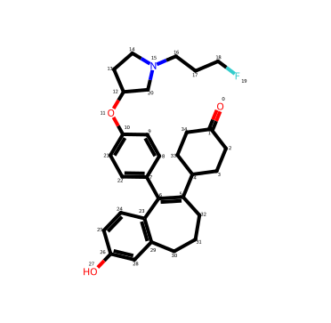 O=C1CCC(C2=C(c3ccc(OC4CCN(CCCF)C4)cc3)c3ccc(O)cc3CCC2)CC1